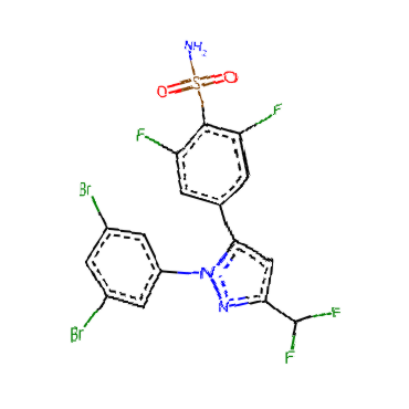 NS(=O)(=O)c1c(F)cc(-c2cc(C(F)F)nn2-c2cc(Br)cc(Br)c2)cc1F